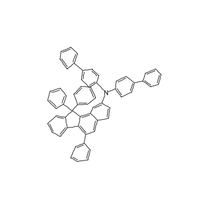 c1ccc(-c2ccc(N(c3ccc(-c4ccccc4)cc3)c3ccc4cc(-c5ccccc5)c5c(c4c3)C(c3ccccc3)(c3ccccc3)c3ccccc3-5)cc2)cc1